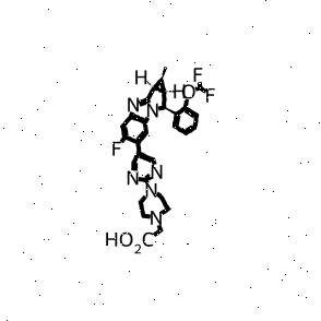 C[C@@H]1[C@@H]2c3nc4cc(F)c(-c5cnc(N6CCN(CC(=O)O)CC6)nc5)cc4n3[C@H](c3ccccc3OC(F)F)[C@H]12